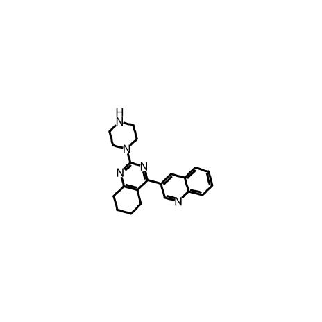 c1ccc2ncc(-c3nc(N4CCNCC4)nc4c3CCCC4)cc2c1